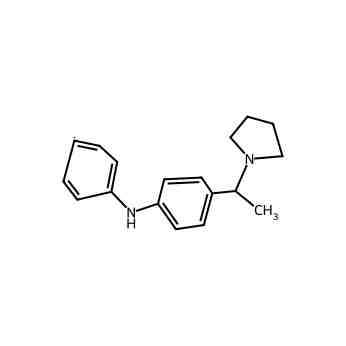 CC(c1ccc(Nc2cc[c]cc2)cc1)N1CCCC1